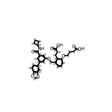 O=C(O)CCCOc1cccc(COc2cc(C(=O)NC3CCC3)cc(-c3ccc4c(c3)OCO4)c2)c1CCC(=O)O